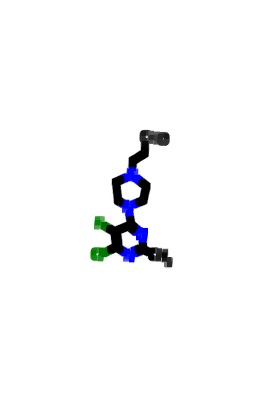 Cc1nc(Cl)c(F)c(N2CCN(CCC=O)CC2)n1